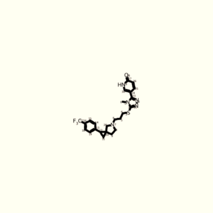 Cn1c(SCCCN2CCC3(CC3c3ccc(C(F)(F)F)cc3)C2)nnc1-c1ccc(=O)[nH]c1